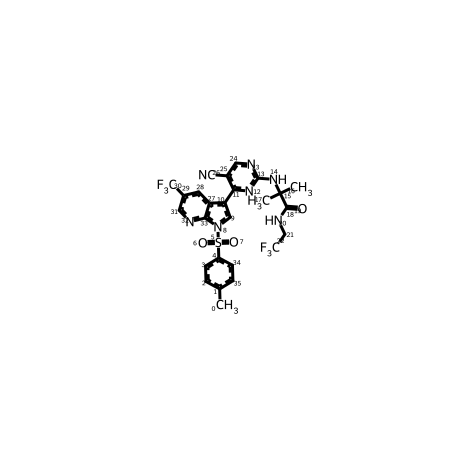 Cc1ccc(S(=O)(=O)n2cc(-c3nc(NC(C)(C)C(=O)NCC(F)(F)F)ncc3C#N)c3cc(C(F)(F)F)cnc32)cc1